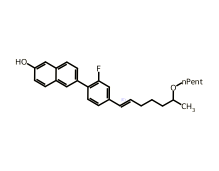 CCCCCOC(C)CCC/C=C/c1ccc(-c2ccc3cc(O)ccc3c2)c(F)c1